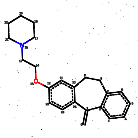 C=C1c2ccccc2CCc2cc(OCCN3CCCCC3)ccc21